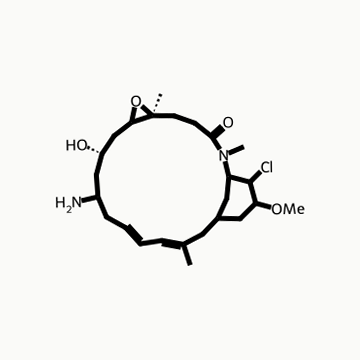 COC1CC2C/C(C)=C/C=C/CC(N)C[C@H](O)CC3O[C@@]3(C)CCC(=O)N(C)C(C2)C1Cl